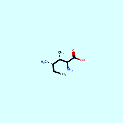 CC[C@H](C)[C@H](C)[C@H](N)C(=O)O